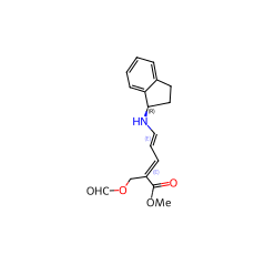 COC(=O)/C(=C/C=C/N[C@@H]1CCc2ccccc21)COC=O